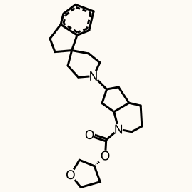 O=C(O[C@@H]1CCOC1)N1CCCC2CC(N3CCC4(CCc5ccccc54)CC3)CC21